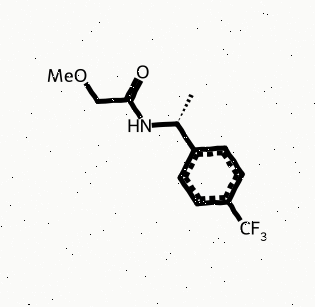 COCC(=O)N[C@H](C)c1ccc(C(F)(F)F)cc1